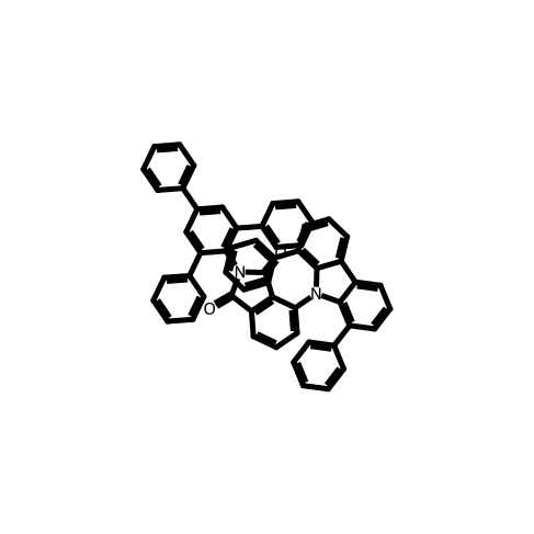 O=C1c2cccc(-n3c4c(-c5ccccc5)cccc4c4cccc(-c5ccccc5)c43)c2C(=O)N1c1c(-c2ccccc2)cc(-c2ccccc2)cc1-c1ccccc1